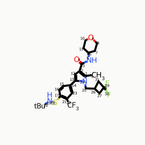 Cc1c(C(=O)NC2CCOCC2)cc(-c2ccc(SNC(C)(C)C)c(C(F)(F)F)c2)n1CC1CC(F)(F)C1